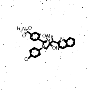 COC(c1ccc2ccccc2n1)C1(O)CN(c2ccc(Cl)cc2)C(c2ccc(S(N)(=O)=O)cc2)=N1